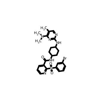 Cc1cnc(NC2CCC(NC(=O)c3cccnc3S(=O)(=O)c3cccc(Br)c3)CC2)nc1N(C)C